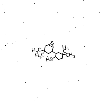 CC1(C)CCC(S)C(C2CC(C)(C)CC3SC32)C1